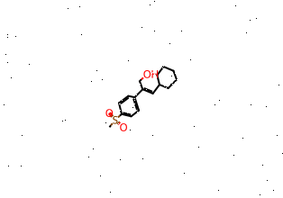 CS(=O)(=O)c1ccc(C(=CC2CCCCC2)CO)cc1